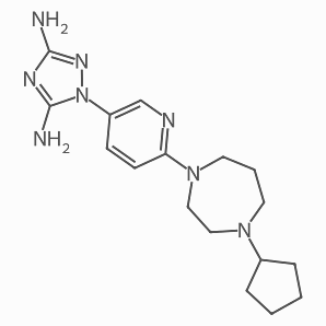 Nc1nc(N)n(-c2ccc(N3CCCN(C4CCCC4)CC3)nc2)n1